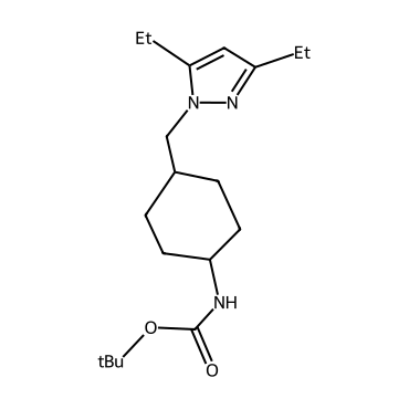 CCc1cc(CC)n(CC2CCC(NC(=O)OC(C)(C)C)CC2)n1